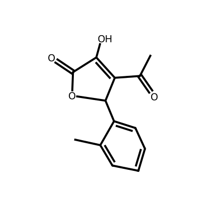 CC(=O)C1=C(O)C(=O)OC1c1ccccc1C